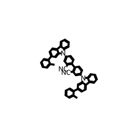 Cc1ccccc1-c1ccc2c3ccccc3n(-c3ccc(-c4ccc(-n5c6ccccc6c6ccc(-c7ccccc7C)cc65)cc4C#N)c(C#N)c3)c2c1